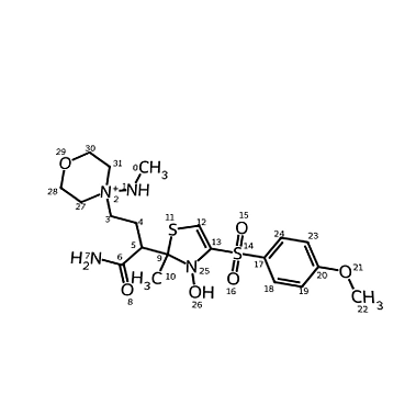 CN[N+]1(CCC(C(N)=O)C2(C)SC=C(S(=O)(=O)c3ccc(OC)cc3)N2O)CCOCC1